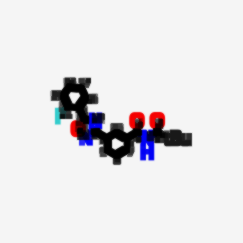 CC(C)(C)C(=O)NC(=O)c1cccc(-c2noc(-c3ccccc3F)n2)c1